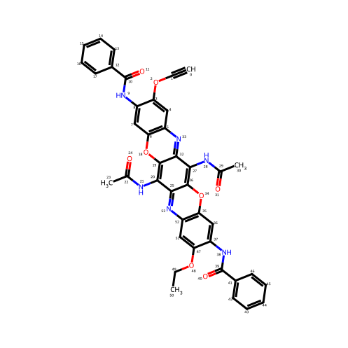 C#COc1cc2c(cc1NC(=O)c1ccccc1)Oc1c(NC(C)=O)c3c(c(NC(C)=O)c1=N2)Oc1cc(NC(=O)c2ccccc2)c(OCC)cc1N=3